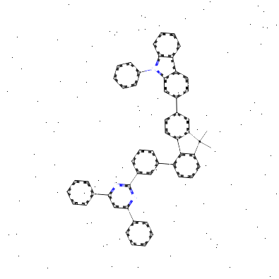 CC1(C)c2cc(-c3ccc4c5ccccc5n(-c5ccccc5)c4c3)ccc2-c2c(-c3cccc(-c4nc(-c5ccccc5)cc(-c5ccccc5)n4)c3)cccc21